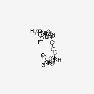 COC(=O)N[C@@H](C(=O)N1CCC[C@H]1c1ncc(-c2ccc(-c3ccc4cc(-c5c[nH]c([C@@H]6CCCN6C(=O)[C@@H](NC=O)C6CCOCC6)n5)ccc4c3)cc2)[nH]1)c1ccc(F)cc1